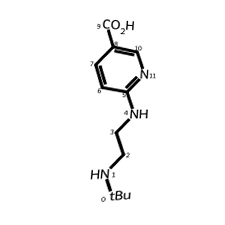 CC(C)(C)NCCNc1ccc(C(=O)O)cn1